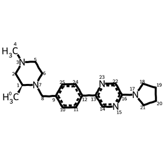 C[C@H]1CN(C)CCN1Cc1ccc(-c2cnc(N3CCCC3)cn2)cc1